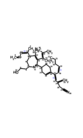 C=N/N=C(/C)N1CC(CCO)N=C(C2CC=C(C(/C=C\CCC)=C/C(=C)CC#N)CC2)C(C(C)=C(C)C)=C1C